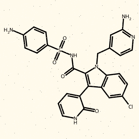 Nc1ccc(S(=O)(=O)NC(=O)c2c(-c3ccc[nH]c3=O)c3cc(Cl)ccc3n2Cc2ccnc(N)c2)cc1